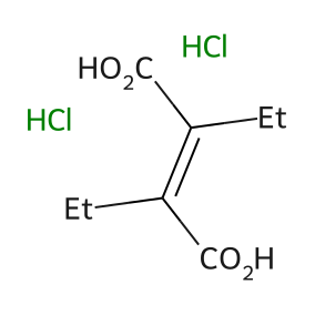 CCC(C(=O)O)=C(CC)C(=O)O.Cl.Cl